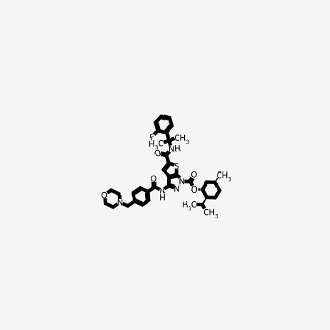 CC(C)[C@@H]1CC[C@@H](C)C[C@H]1OC(=O)n1nc(NC(=O)c2ccc(CN3CCOCC3)cc2)c2cc(C(=O)NC(C)(C)c3ccccc3F)sc21